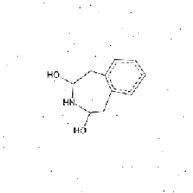 OC1Cc2ccccc2CC(O)N1